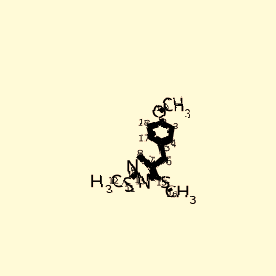 COc1ccc(Cc2cnc(SC)nc2SC)cc1